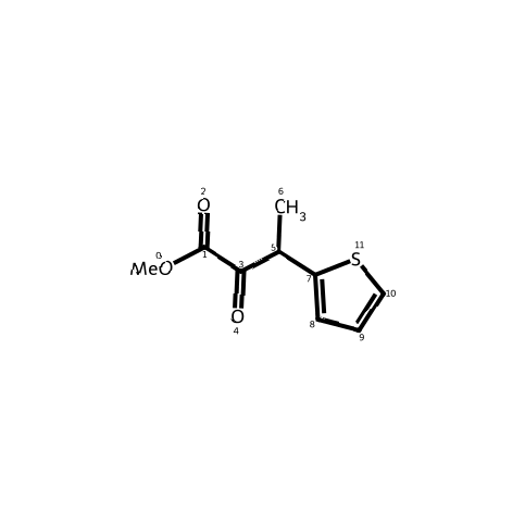 COC(=O)C(=O)C(C)c1cccs1